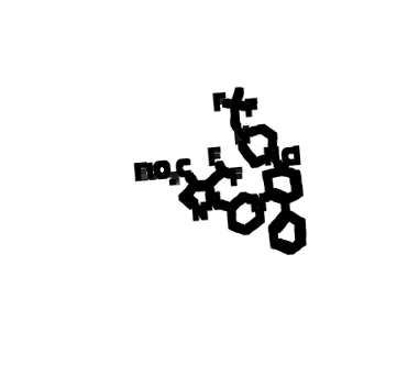 CCOC(=O)c1cnn(C2CCCN(C3=C(c4ccccc4)C=CC(Cl)(N4CCN(CC(C)(F)F)CC4)C3)C2)c1C(F)F